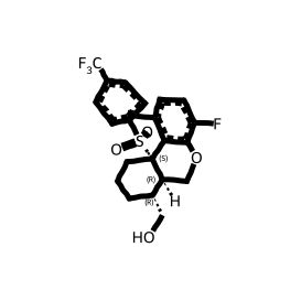 O=S(=O)(c1ccc(C(F)(F)F)cc1)[C@@]12CCC[C@@H](CO)[C@@H]1COc1c(F)ccc(F)c12